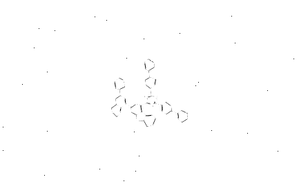 c1ccc(-c2ccc(-c3nc(-c4ccc(-c5ccccc5)cc4)nc(-c4cc(-c5cc(-c6ccccc6)cc6ccccc56)cc5oc6ccccc6c45)n3)cc2)cc1